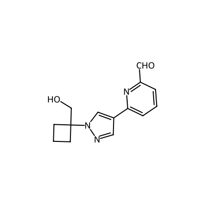 O=Cc1cccc(-c2cnn(C3(CO)CCC3)c2)n1